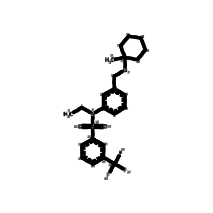 CCN(c1cccc(COC2(C)CCCCC2)c1)S(=O)(=O)c1cccc(C(F)(F)F)c1